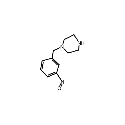 O=Nc1cccc(CN2CCNCC2)c1